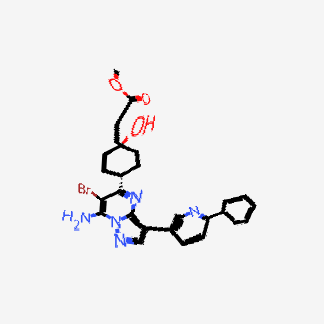 COC(=O)C[C@]1(O)CC[C@H](c2nc3c(-c4ccc(-c5ccccc5)nc4)cnn3c(N)c2Br)CC1